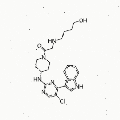 O=C(CNCCCCO)N1CCC(Nc2ncc(Cl)c(-c3c[nH]c4ccccc34)n2)CC1